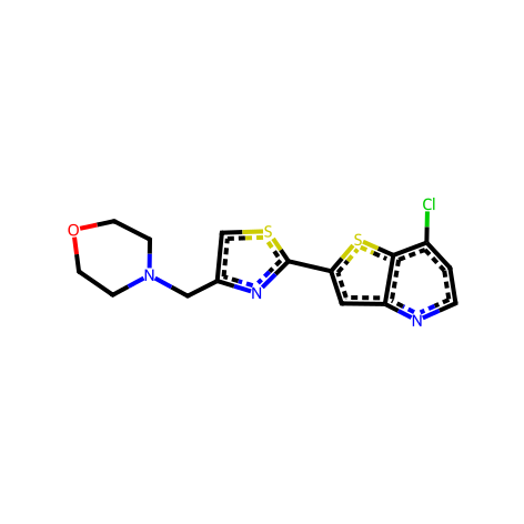 Clc1ccnc2cc(-c3nc(CN4CCOCC4)cs3)sc12